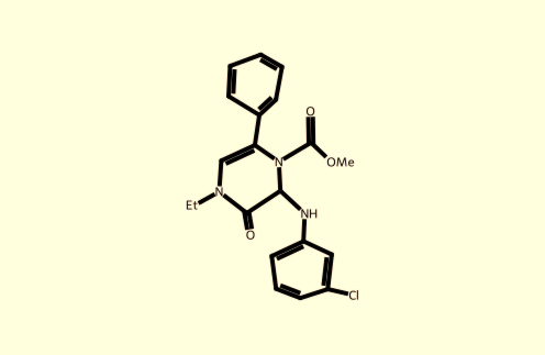 CCN1C=C(c2ccccc2)N(C(=O)OC)C(Nc2cccc(Cl)c2)C1=O